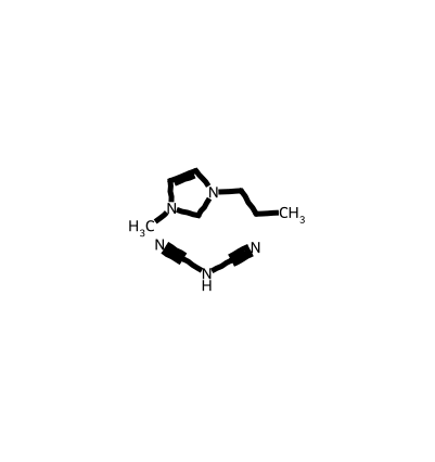 CCCN1C=CN(C)C1.N#CNC#N